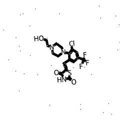 O=C1NC(=O)C(=Cc2cc(C(F)(F)F)cc(Cl)c2N2CCN(CCO)CC2)S1